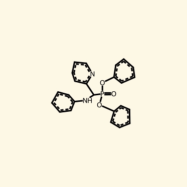 O=P(Oc1ccccc1)(Oc1ccccc1)C(Nc1ccccc1)c1ccccn1